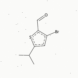 CC(C)c1cc(Br)c(C=O)s1